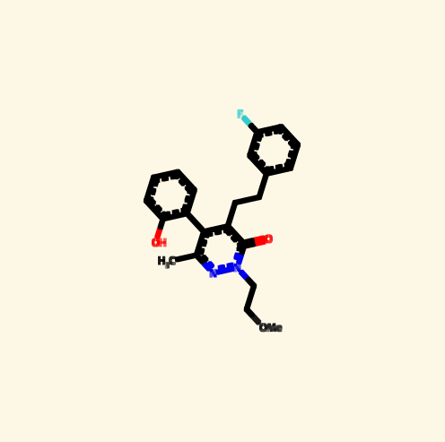 COCCn1nc(C)c(-c2ccccc2O)c(CCc2cccc(F)c2)c1=O